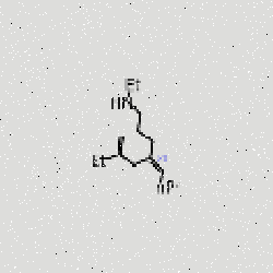 C=C(CC)C/C(=C\CCC)CCCNCC